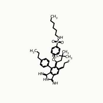 CCCCCCNS(=O)(=O)c1ccc(O/C(CC(C)(C)C)=c2\c(-c3ccc(CCC)cc3)c3c(c\c2=C\CF)C(=N)NC3=N)cc1